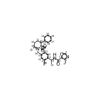 Cc1ncoc1C(=O)NC(C)c1cc(F)c(CN2[C@H](C)CC[C@@H](c3ccccc3)S2(=O)=O)cc1F